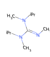 CN=C(N(C)C(C)C)N(C)C(C)C